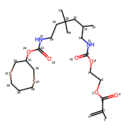 C=C(C)C(=O)OCCOC(=O)NCC(C)CC(C)(C)CCNC(=O)OC1CSCCCSC1